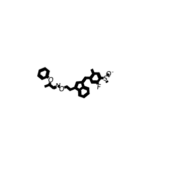 Cc1cc([S+](C)[O-])c(F)cc1/C=C1/C=C(CCON=CC(C)Oc2ccccc2)c2ccccc21